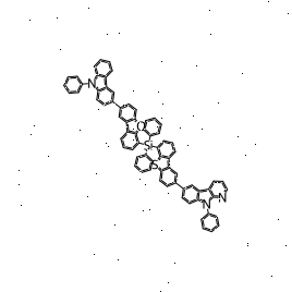 c1ccc(-n2c3ccccc3c3cc(-c4ccc5oc6c([Si](c7ccccc7)(c7ccccc7)c7cccc8c7sc7ccc(-c9ccc%10c(c9)c9cccnc9n%10-c9ccccc9)cc78)cccc6c5c4)ccc32)cc1